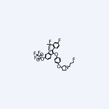 CC(F)(F)c1cc(F)ccc1-c1sc2cc(OS(=O)(=O)C(F)(F)F)ccc2c1Oc1ccc(OC2CCN(CCCF)C2)cc1